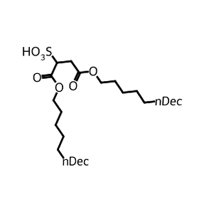 CCCCCCCCCCCCCCCOC(=O)CC(C(=O)OCCCCCCCCCCCCCCC)S(=O)(=O)O